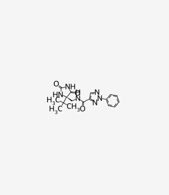 CC(C)(C)[C@]1(CNC(=O)c2cnn(-c3ccccc3)n2)NC(=O)NC1=O